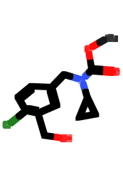 CC(C)(C)OC(=O)N(Cc1ccc(Cl)c(CO)c1)C1CC1